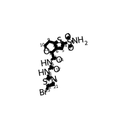 NS(=O)(=O)c1cc2c(s1)CCOC2C(=O)NC(=O)Nc1ncc(Br)s1